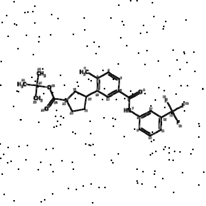 Cc1ccc(C(=O)Nc2cccc(C(F)(F)F)c2)cc1C1CCN(C(=O)OC(C)(C)C)C1